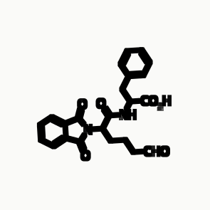 O=CCCCC(C(=O)NC(Cc1ccccc1)C(=O)O)N1C(=O)c2ccccc2C1=O